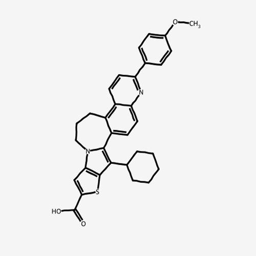 COc1ccc(-c2ccc3c4c(ccc3n2)-c2c(C3CCCCC3)c3sc(C(=O)O)cc3n2CCC4)cc1